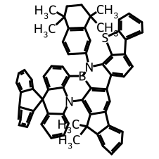 CC1(C)CCC(C)(C)c2cc(N3B4c5cccc6c5N(c5ccccc5C65c6ccccc6-c6ccccc65)c5c4c(cc4c5C(C)(C)c5ccccc5-4)-c4ccc5c(sc6ccccc65)c43)ccc21